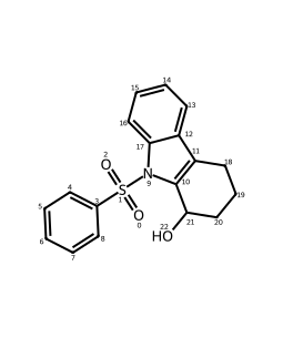 O=S(=O)(c1ccccc1)n1c2c(c3ccccc31)CCCC2O